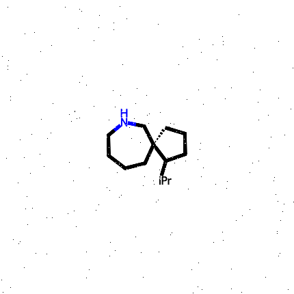 CC(C)C1CCC[C@@]12CCCCNC2